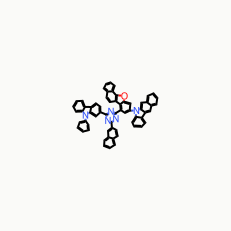 c1ccc(-n2c3ccccc3c3ccc(-c4nc(-c5ccc6ccccc6c5)nc(-c5cc(-n6c7ccccc7c7cc8ccccc8cc76)cc6oc7c8ccccc8ccc7c56)n4)cc32)cc1